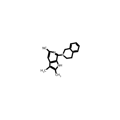 Cc1[nH]c2c(N3CCc4ccccc4C3)nc(C#N)cc2c1C